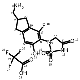 NCC1Cc2cc(O)c(N3CC(=O)NS3(=O)=O)c(F)c2C1.O=C(O)C(F)(F)F